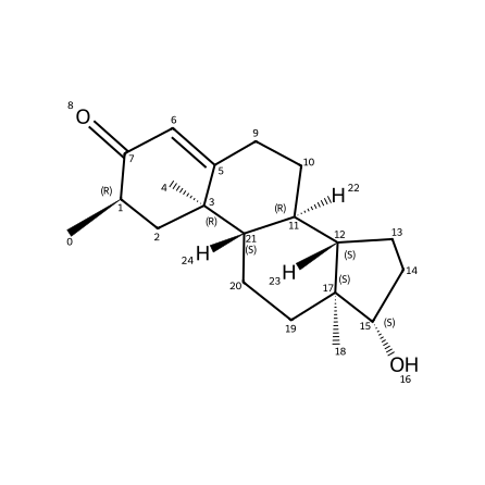 C[C@@H]1C[C@@]2(C)C(=CC1=O)CC[C@H]1[C@@H]3CC[C@H](O)[C@@]3(C)CC[C@@H]12